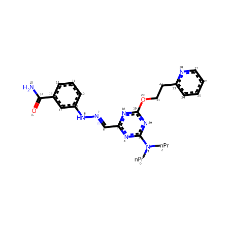 CCCN(CCC)c1nc(/C=N/Nc2cccc(C(N)=O)c2)nc(OCCc2ccccn2)n1